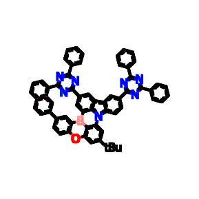 CC(C)(C)c1cc2c3c(c1)-n1c4ccc(-c5nc(-c6ccccc6)nc(-c6ccccc6)n5)cc4c4cc(-c5nc(-c6ccccc6)nc(-c6ccccc6)n5)cc(c41)B3c1cc(-c3ccccc3)ccc1O2